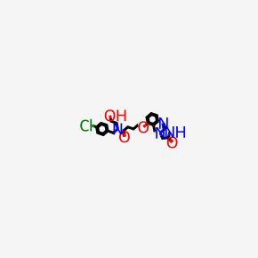 O=C1CN2Cc3c(cccc3OCCCC(=O)N(CCO)Cc3ccc(Cl)cc3)N=C2N1